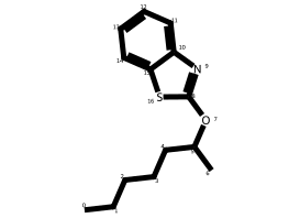 CCCCCC(C)Oc1nc2ccccc2s1